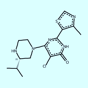 Cc1ncsc1-c1nc(N2CCN[C@@H](C(C)C)C2)c(Cl)c(=O)[nH]1